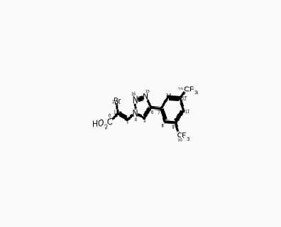 O=C(O)C(Br)=Cn1cc(-c2cc(C(F)(F)F)cc(C(F)(F)F)c2)nn1